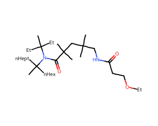 CCCCCCCC(C)(CCCCCC)N(C(=O)C(C)(C)CC(C)(C)CNC(=O)CCOCC)C(C)(CC)CC